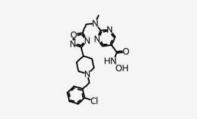 CN(Cc1nc(C2CCN(Cc3ccccc3Cl)CC2)no1)c1ncc(C(=O)NO)cn1